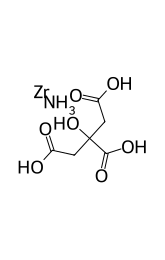 N.O=C(O)CC(O)(CC(=O)O)C(=O)O.[Zr]